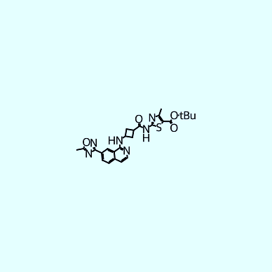 Cc1nc(-c2ccc3ccnc(NC4CC(C(=O)Nc5nc(C)c(C(=O)OC(C)(C)C)s5)C4)c3c2)no1